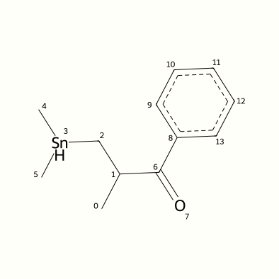 CC([CH2][SnH]([CH3])[CH3])C(=O)c1ccccc1